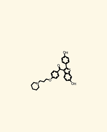 O=C(c1ccc(OCCCN2CCCCC2)cc1)c1c(-c2ccc(O)cc2)sc2cc(O)ccc12